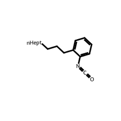 CCCCCCCCCCc1ccccc1N=C=O